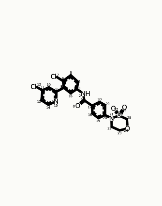 O=C(Nc1ccc(Cl)c(-c2cc(Cl)ccn2)c1)c1ccc(N2CCOCS2(=O)=O)cc1